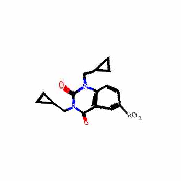 O=c1c2cc([N+](=O)[O-])ccc2n(CC2CC2)c(=O)n1CC1CC1